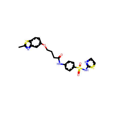 Cc1nc2cc(OCCCC(=O)Nc3ccc(S(=O)(=O)Nc4nccs4)cc3)ccc2s1